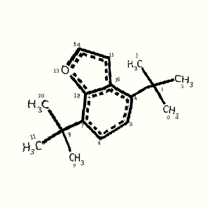 CC(C)(C)c1ccc(C(C)(C)C)c2occc12